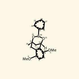 COc1ccc(OC)c2c1C[C@@]1(C)C[C@@H]2OB(c2ccccc2)O1